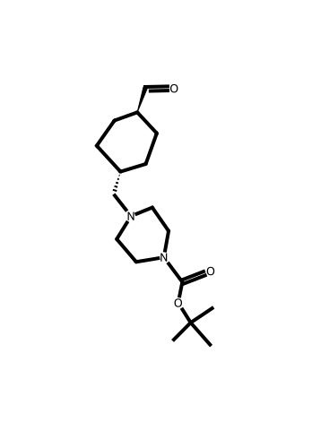 CC(C)(C)OC(=O)N1CCN(C[C@H]2CC[C@H](C=O)CC2)CC1